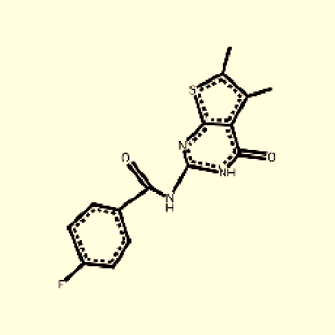 Cc1sc2nc(NC(=O)c3ccc(F)cc3)[nH]c(=O)c2c1C